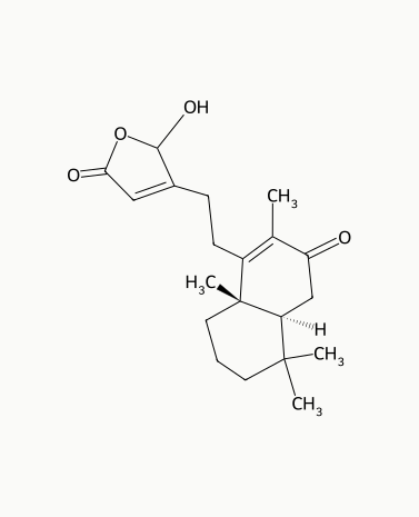 CC1=C(CCC2=CC(=O)OC2O)[C@@]2(C)CCCC(C)(C)[C@@H]2CC1=O